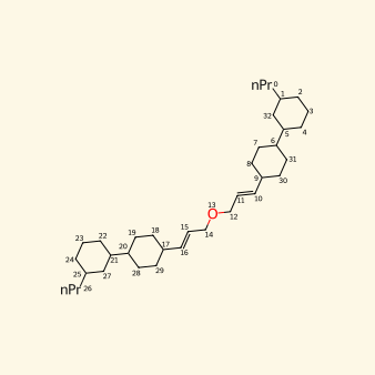 CCCC1CCCC(C2CCC(C=CCOCC=CC3CCC(C4CCCC(CCC)C4)CC3)CC2)C1